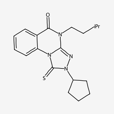 CC(C)CCn1c(=O)c2ccccc2n2c(=S)n(C3CCCC3)nc12